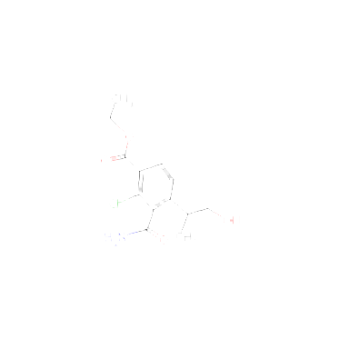 CCOC(=O)c1ccc(C(C)CO)c(C(N)=O)c1Cl